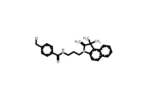 C=C1N(CCCNC(=O)c2ccc(CCl)cc2)c2ccc3ccccc3c2C1(C)C